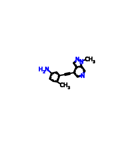 Cc1ccc(N)cc1C#Cc1cncc2c1cnn2C